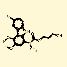 CCCCOC(=O)N(C)c1cc(OF)c(OF)c2c1[nH]c1ncc(Br)cc12